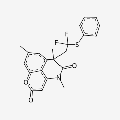 Cc1cc2c3c(cc(=O)oc3c1)N(C)C(=O)C2(C)CC(F)(F)Sc1ccccc1